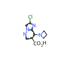 O=C(O)c1cnn2cc(Cl)nc2c1N1CCC1